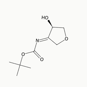 CC(C)(C)OC(=O)/N=C1\COC[C@@H]1O